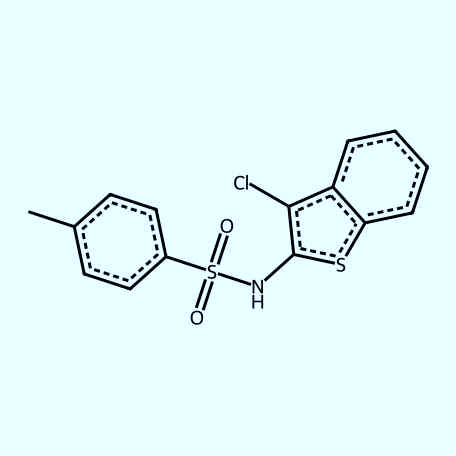 Cc1ccc(S(=O)(=O)Nc2sc3ccccc3c2Cl)cc1